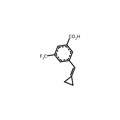 O=C(O)c1cc(C=C2CC2)cc(C(F)(F)F)c1